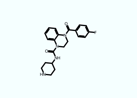 O=C(NC1CCNCC1)N1CCN(C(=O)c2ccc(F)cc2)c2ccccc21